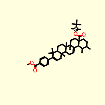 COC(=O)c1ccc(C2=CCC3(C)C(CCC4(C)C3CC=C3C5C(C)C(C)CCC5(C(=O)O[Si](C)(C)C(C)(C)C)CCC34C)C2(C)C)cc1